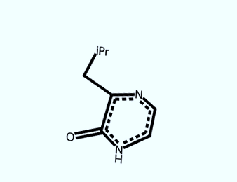 CC(C)Cc1ncc[nH]c1=O